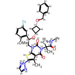 COc1ccc(F)cc1[C@H](Cn1c(=O)n(C(C)(C)C(=O)NC(C)C)c(=O)c2c(C)c(-n3nccn3)sc21)O[C@H]1C[C@@H](OCc2ccccc2)C1